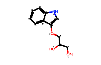 OCC(O)COc1c[nH]c2ccccc12